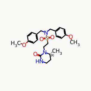 COc1ccc(CN(Cc2ccc(OC)cc2)S(=O)(=O)CCN2C(=O)NCC[C@H]2C)cc1